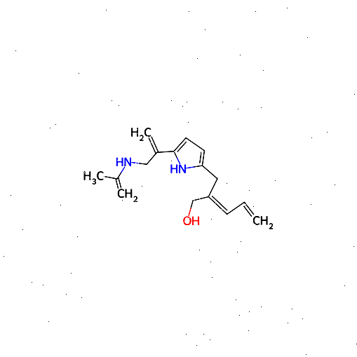 C=C/C=C(/CO)Cc1ccc(C(=C)CNC(=C)C)[nH]1